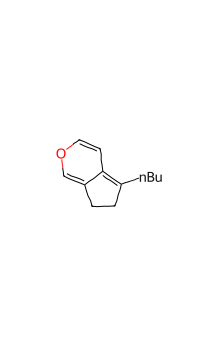 [CH2]CCCC1=C2C=COC=C2CC1